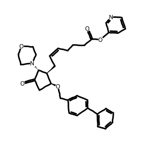 O=C(CCC/C=C\C[C@H]1[C@@H](OCc2ccc(-c3ccccc3)cc2)CC(=O)[C@@H]1N1CCOCC1)Oc1cccnc1